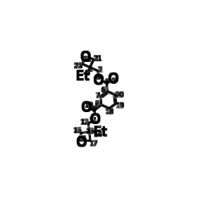 CCC1(COC(=O)C2=CC(C(=O)OCC3(CC)COC3)CC=C2)COC1